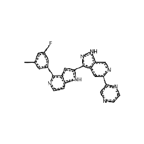 Cc1cc(F)cc(-c2nccc3[nH]c(-c4n[nH]c5cnc(-c6cnccn6)cc45)cc23)c1